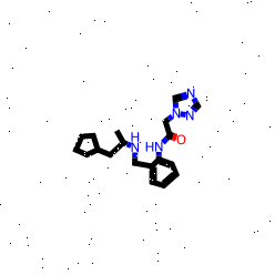 CC(CC1CCCC1)NCc1ccccc1NC(=O)Cn1cncn1